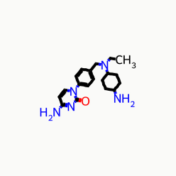 CCN(Cc1ccc(-n2ccc(N)nc2=O)cc1)C1CCC(N)CC1